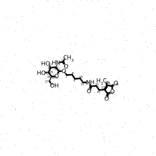 CC(=O)N[C@@H]1C(OCCCCCNC(=O)CCC2=C(C)C(=O)OC2=O)O[C@@H](CO)[C@@H](O)[C@H]1O